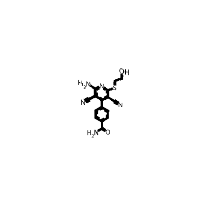 N#Cc1c(N)nc(SCCO)c(C#N)c1-c1ccc(C(N)=O)cc1